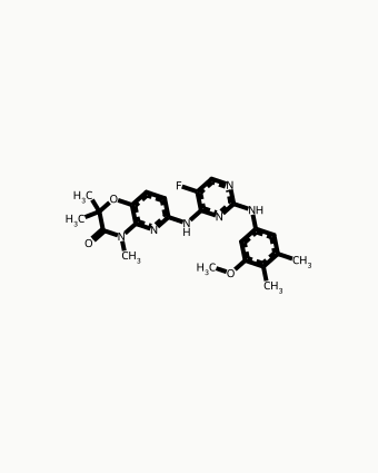 COc1cc(Nc2ncc(F)c(Nc3ccc4c(n3)N(C)C(=O)C(C)(C)O4)n2)cc(C)c1C